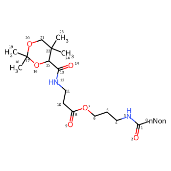 CCCCCCCCCC(=O)NCCCOC(=O)CCNC(=O)C1OC(C)(C)OCC1(C)C